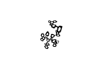 c1ccc(N(c2cc(-c3ccc4c(c3)sc3ccccc34)cc(N(c3cccc(-c4cccc5c4sc4c(-c6ccc7oc8c9ccccc9c9ccccc9c8c7c6)cccc45)c3)c3ccc4oc5ccccc5c4c3)c2)c2cc3ccccc3c3ccccc23)cc1